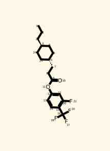 CCC[C@H]1CC[C@H](CCC(=O)Oc2ccc(C(F)(F)F)c(F)c2)CC1